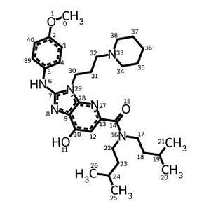 COc1ccc(Nc2nc3c(O)cc(C(=O)N(CCC(C)C)CCC(C)C)nc3n2CCCN2CCCCC2)cc1